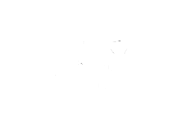 CC(C)O[Si](CCc1ccccc1)(OC(C)C)OC(C)C